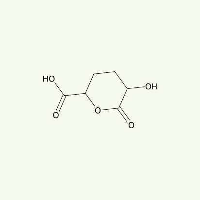 O=C1OC(C(=O)O)CCC1O